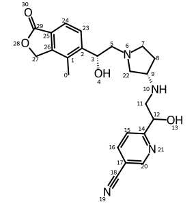 Cc1c([C@@H](O)CN2CC[C@H](NCC(O)c3ccc(C#N)cn3)C2)ccc2c1COC2=O